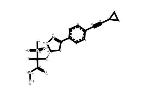 CC(C[C@H]1CC(c2ccc(C#CC3CC3)cc2)=NO1)(C(=O)NO)S(C)(=O)=O